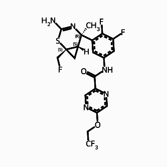 C[C@@]1(c2cc(NC(=O)c3cnc(OCC(F)(F)F)cn3)cc(F)c2F)N=C(N)S[C@@]2(CF)C[C@H]21